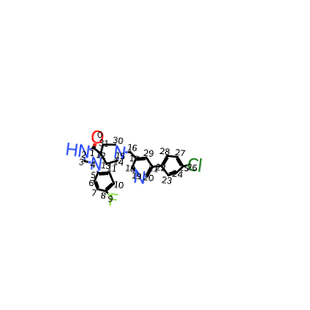 O=C1NCN(c2ccc(F)cc2)C12CCN(Cc1cncc(-c3ccc(Cl)cc3)c1)CC2